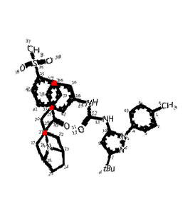 Cc1ccc(-n2nc(C(C)(C)C)cc2NC(=O)Nc2cccc(CC3CC4CCC(C3)N4CC(=O)c3ccc(S(C)(=O)=O)cc3)c2)cc1